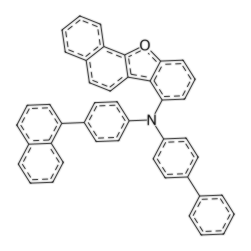 c1ccc(-c2ccc(N(c3ccc(-c4cccc5ccccc45)cc3)c3cccc4oc5c6ccccc6ccc5c34)cc2)cc1